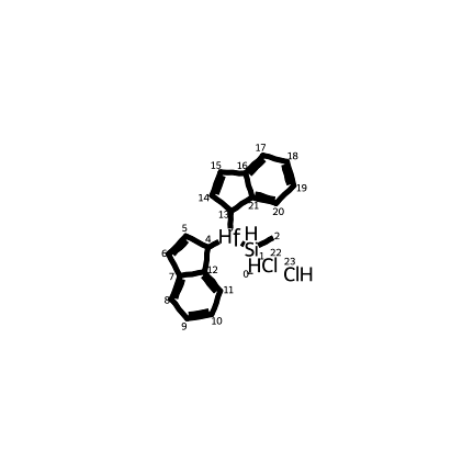 C[SiH](C)[Hf]([CH]1C=Cc2ccccc21)[CH]1C=Cc2ccccc21.Cl.Cl